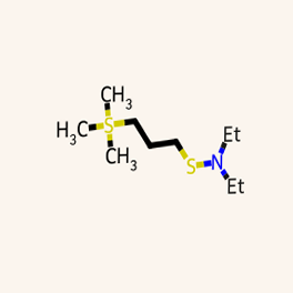 CCN(CC)SCCCS(C)(C)C